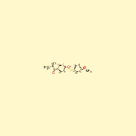 C=C(C)C(=O)c1ccc(OSc2ccc(OC)cc2)cc1